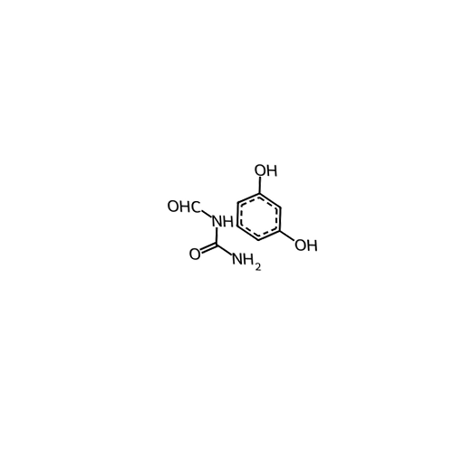 NC(=O)NC=O.Oc1cccc(O)c1